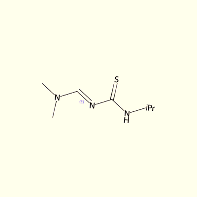 CC(C)NC(=S)/N=C/N(C)C